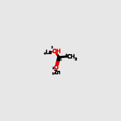 CC(=O)O.[La].[Zn]